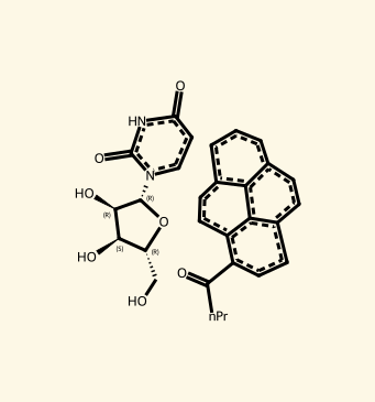 CCCC(=O)c1ccc2ccc3cccc4ccc1c2c34.O=c1ccn([C@@H]2O[C@H](CO)[C@@H](O)[C@H]2O)c(=O)[nH]1